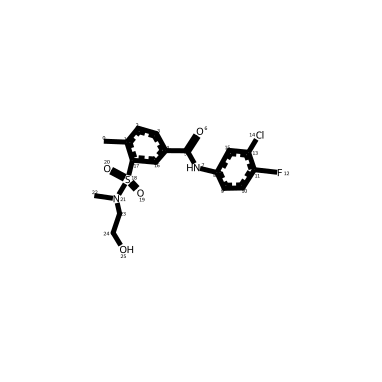 Cc1ccc(C(=O)Nc2ccc(F)c(Cl)c2)cc1S(=O)(=O)N(C)CCO